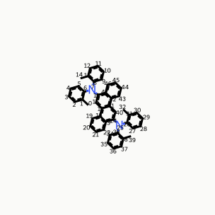 Cc1ccccc1N(c1ccccc1C)c1cc2c3ccccc3c(N(c3ccccc3C)c3ccccc3C)cc2c2ccccc12